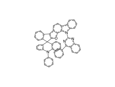 c1ccc(-c2nc(-n3c4ccccc4c4ccc5c6c(oc5c43)C3(c4ccccc4-6)c4ccccc4N(c4ccccc4)c4ccccc43)nc3ccccc23)cc1